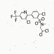 CN(CC(=O)Cl)S(=O)(=O)c1cc(-c2ncc(C(F)(F)F)cc2Cl)ccc1Cl